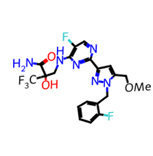 COCc1cc(-c2ncc(F)c(NCC(O)(C(N)=O)C(F)(F)F)n2)nn1Cc1ccccc1F